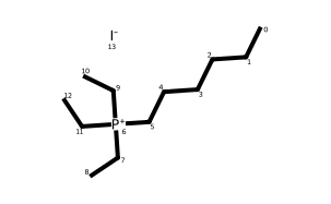 CCCCCC[P+](CC)(CC)CC.[I-]